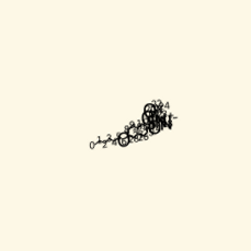 CCCCCCOc1ccc2cc(S(=O)(=O)C(=[N+]=[N-])C(=O)C(C)(C)C)ccc2c1